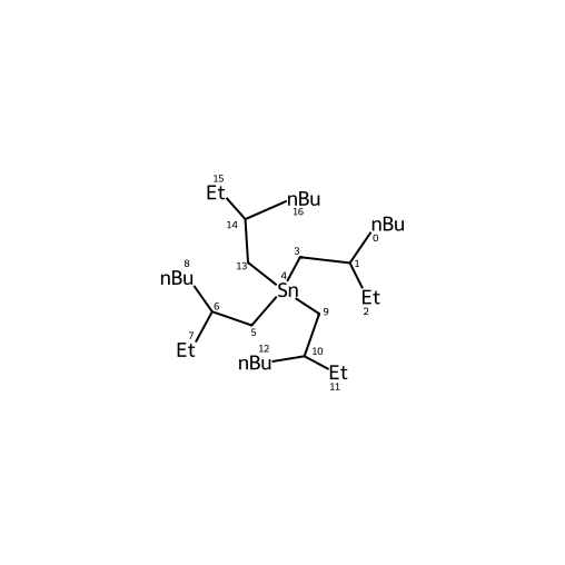 CCCCC(CC)[CH2][Sn]([CH2]C(CC)CCCC)([CH2]C(CC)CCCC)[CH2]C(CC)CCCC